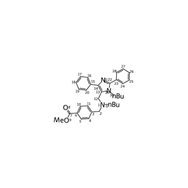 CCCCN(Cc1ccc(C(=O)OC)cc1)Cc1c(-c2ccccc2)nc(-c2ccccc2)n1CCCC